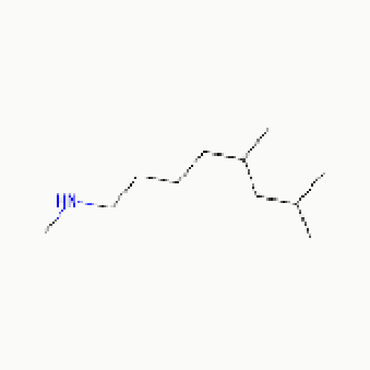 CNCCCCC(C)CC(C)C